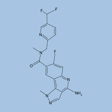 CN(Cc1ccc(C(F)F)cn1)C(=O)c1cc2c(cc1F)nc(N)c1cnn(C)c12